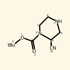 CC(C)(C)OC(=O)N1CCNC[C@H]1C#N